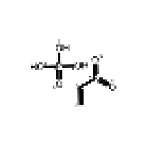 C=CP(=O)=O.O=P(O)(O)O